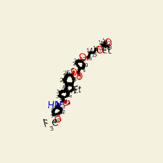 CCC1c2cc(OC(=O)c3ccc(OCCCCOCC4(CC)COC4)cc3)ccc2-c2ccc(C(=O)Nc3ccc(OC(F)(F)F)cc3)cc21